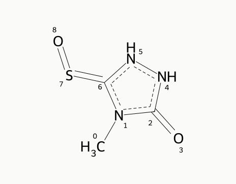 Cn1c(=O)[nH][nH]c1=S=O